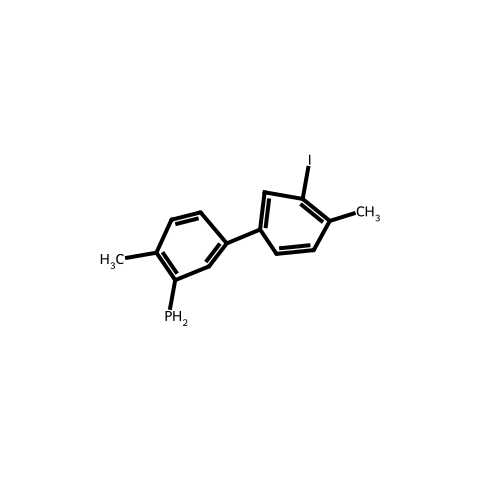 Cc1ccc(-c2ccc(C)c(I)c2)cc1P